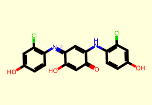 O=C1C=C(O)/C(=N\c2ccc(O)cc2Cl)C=C1Nc1ccc(O)cc1Cl